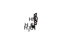 Cc1ncc(-c2ccc3cnc(NC(=O)CN4CC5CC5C4)cc3c2)n1C